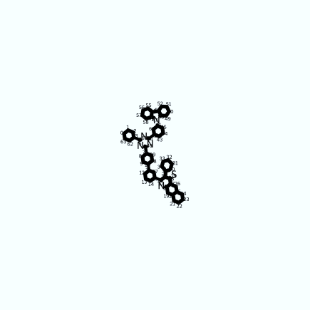 c1ccc(-c2nc(-c3ccc(-c4cccc(-c5nc6cc7ccccc7cc6c6sc7ccccc7c56)c4)cc3)nc(-c3cccc(-n4c5ccccc5c5ccccc54)c3)n2)cc1